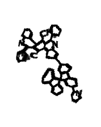 Cc1c2c(-c3ccccc3)nc3cc(-c4ccc5c(c4)C4(c6ccccc6-c6ccccc64)c4cc(-c6ccccn6)ccc4-5)ccc3c2c(C)c2c(-c3ccccc3)nc3ccccc3c12